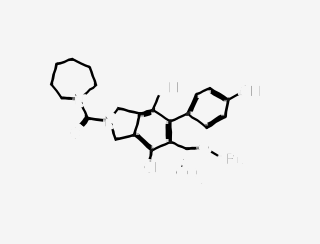 Cc1ccc(-c2c(C)c3c(c(C)c2[C@H](OC(C)(C)C)C(=O)O)CN(C(=O)N2CCCCCC2)C3)cc1